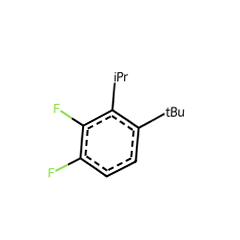 CC(C)c1c(C(C)(C)C)ccc(F)c1F